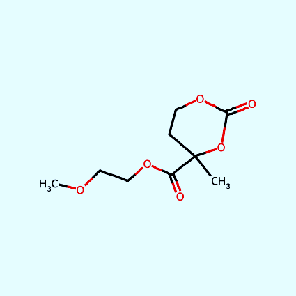 COCCOC(=O)C1(C)CCOC(=O)O1